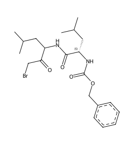 CC(C)CC(NC(=O)[C@H](CC(C)C)NC(=O)OCc1ccccc1)C(=O)CBr